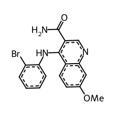 COc1ccc2c(Nc3ccccc3Br)c(C(N)=O)cnc2c1